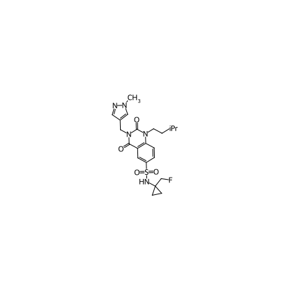 CC(C)CCn1c(=O)n(Cc2cnn(C)c2)c(=O)c2cc(S(=O)(=O)NC3(CF)CC3)ccc21